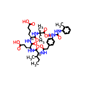 CCC(C)[C@H](NC(=O)Cc1ccc(NC(=O)Nc2ccccc2C)cc1)C(=O)N[C@@H](CCC(=O)O)C(=O)N[C@@H](CCCC(=O)O)C(=O)NC(C)(C)C(=O)O